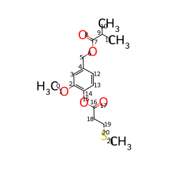 COc1cc(COC(=O)C(C)C)ccc1OC(=O)CCSC